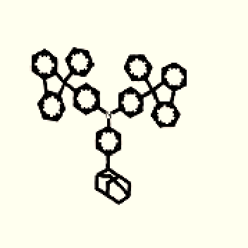 c1ccc(C2(c3ccc(N(c4ccc(C5C6CC7CC(C6)CC5C7)cc4)c4ccc(C5(c6ccccc6)c6ccccc6-c6ccccc65)cc4)cc3)c3ccccc3-c3ccccc32)cc1